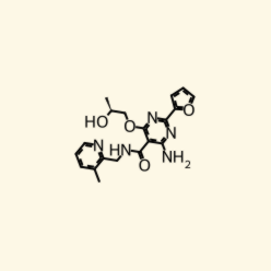 Cc1cccnc1CNC(=O)c1c(N)nc(-c2ccco2)nc1OC[C@H](C)O